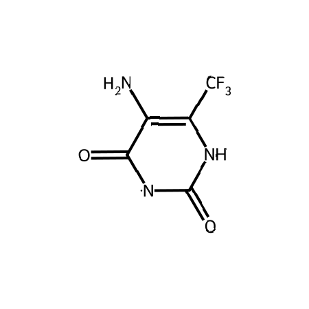 NC1=C(C(F)(F)F)NC(=O)[N]C1=O